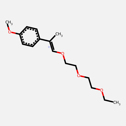 CCOCCOCCO/C=C(\C)c1ccc(OC)cc1